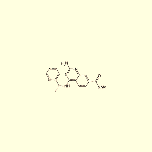 CNC(=O)c1ccc2c(N[C@H](C)c3ccccn3)nc(N)nc2c1